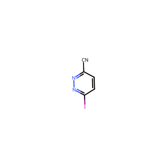 N#Cc1ccc(I)nn1